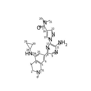 CN1CCc2c(cc(-c3cnc(N)c(-n4cc(C(=O)N(C)C)cn4)n3)cc2NC2CC2)C1